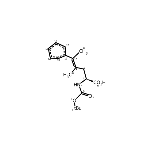 C/C(C[C@H](NC(=O)OC(C)(C)C)C(=O)O)=C(/C)c1ccccc1